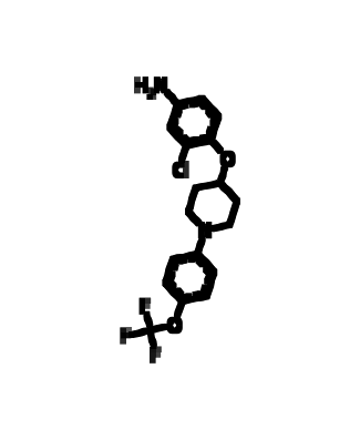 Nc1ccc(OC2CCN(c3ccc(OC(F)(F)F)cc3)CC2)c(Cl)c1